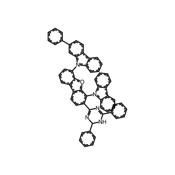 c1ccc(C2=NC(c3ccc4c(oc5c(-n6c7ccccc7c7ccc(-c8ccccc8)cc76)cccc54)c3-n3c4ccccc4c4ccccc43)=NC(c3ccccc3)N2)cc1